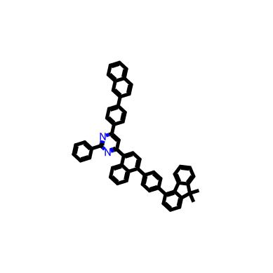 CC1(C)c2ccccc2-c2c(-c3ccc(-c4ccc(-c5cc(-c6ccc(-c7ccc8ccccc8c7)cc6)nc(-c6ccccc6)n5)c5ccccc45)cc3)cccc21